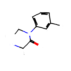 CC(C)[C@H](N)C(=O)N(CC(=O)O)c1cccc(C(F)(F)F)c1